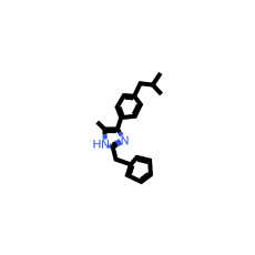 Cc1[nH]c(Cc2ccccc2)nc1-c1ccc(CC(C)C)cc1